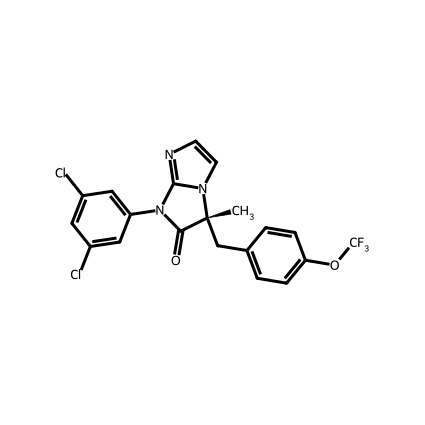 C[C@@]1(Cc2ccc(OC(F)(F)F)cc2)C(=O)N(c2cc(Cl)cc(Cl)c2)c2nccn21